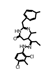 CC/C(=N/Nc1ccc(Cl)c(C)c1Cl)C1CC(=O)NC(CC2=CC=CC(C)C=C2)=NC1C